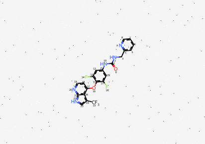 O=C(NCc1ccccn1)Nc1cc(F)c(Oc2ccnc3[nH]cc(C(F)(F)F)c23)c(F)c1